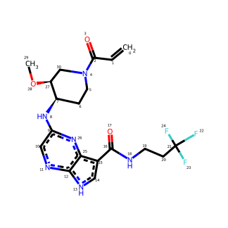 C=CC(=O)N1CC[C@@H](Nc2cnc3[nH]cc(C(=O)NCCC(F)(F)F)c3n2)[C@@H](OC)C1